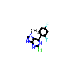 Cn1cnc2nc(Cl)nc(-c3ccc(F)cc3F)c21